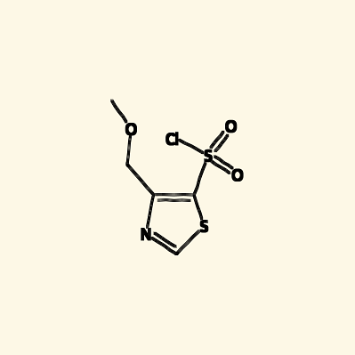 COCc1ncsc1S(=O)(=O)Cl